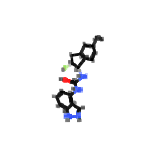 CC(C)(C)c1ccc2c(c1)C[C@@H](F)[C@H]2NC(=O)Nc1cccc2[nH]ncc12